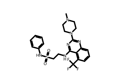 CN1CCN(c2nc(NCCS(=O)(=O)Nc3ccccc3)c3c(C(F)(F)F)cccc3n2)CC1